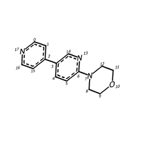 c1cc(-c2ccc(N3CCOCC3)nc2)ccn1